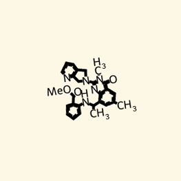 COC(=O)c1ccccc1NC(C)c1cc(C)cc2c(=O)n(C)c(N3Cc4cccnc4C3)nc12